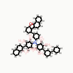 Bc1c(B)c(N(c2cccc(-c3cccc4oc5c6ccccc6ccc5c34)c2)c2c(B)c(B)c(-c3ccc4ccccc4c3)c(B)c2B)c(B)c(B)c1-c1cccc(-c2ccccc2)c1